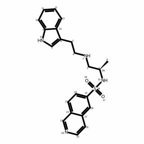 C[C@H](CNCCc1c[nH]c2ccccc12)NS(=O)(=O)c1ccc2cnccc2c1